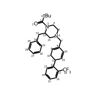 CC(C)(C)C(=O)N1CCN(CC2=CCC(c3ccccc3C(F)(F)F)C=C2)CC1Cc1ccccc1